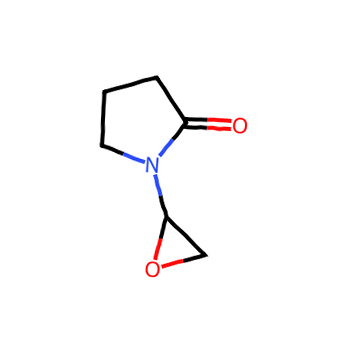 O=C1CCCN1C1CO1